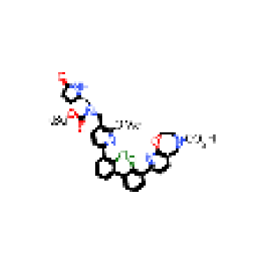 COc1nc(-c2cccc(-c3cccc(-c4ccc5c(n4)OCCN(C(=O)O)C5)c3Cl)c2Cl)ccc1CN(C[C@@H]1CCC(=O)N1)C(=O)OC(C)(C)C